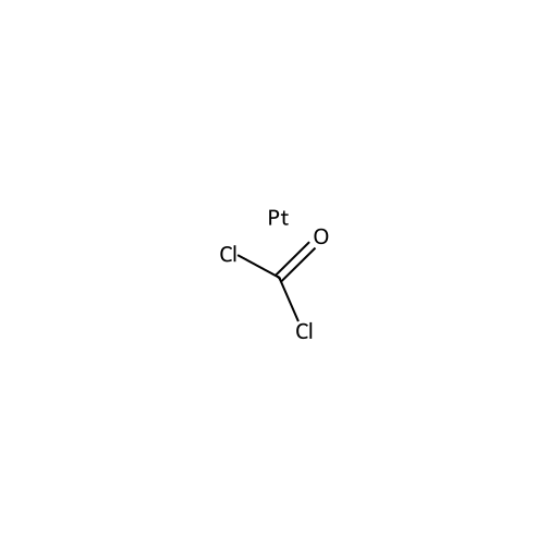 O=C(Cl)Cl.[Pt]